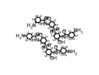 Nc1ccc(C(=O)Nc2cc(S(=O)(=O)c3ccc(O)c(NC(=O)c4ccc(N)cc4)c3)ccc2O)cc1.Nc1cccc(C(=O)Nc2cc(S(=O)(=O)c3ccc(O)c(NC(=O)c4cccc(N)c4)c3)ccc2O)c1